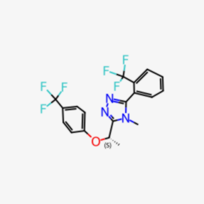 C[C@H](Oc1ccc(C(F)(F)F)cc1)c1nnc(-c2ccccc2C(F)(F)F)n1C